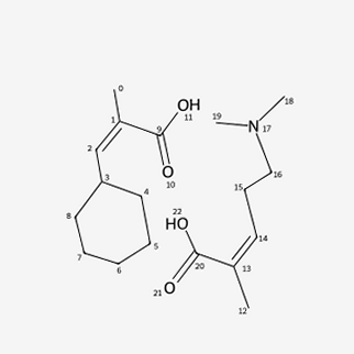 CC(=CC1CCCCC1)C(=O)O.CC(=CCCN(C)C)C(=O)O